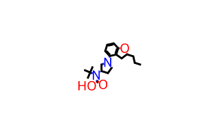 CCCC1Cc2c(cccc2N2CC[C@H](N(C(=O)O)C(C)(C)C)C2)O1